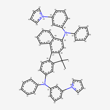 CC1(C)c2cc(N(c3ccccc3)c3cccc(-n4cccc4)c3)ccc2-c2c1cc(N(c1ccccc1)c1cccc(-n3cccc3)c1)c1ccccc21